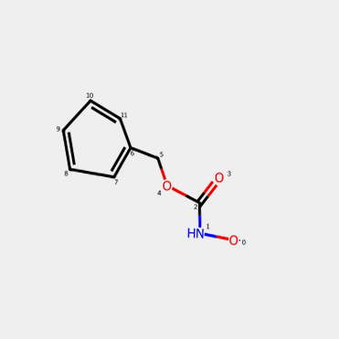 [O]NC(=O)OCc1ccccc1